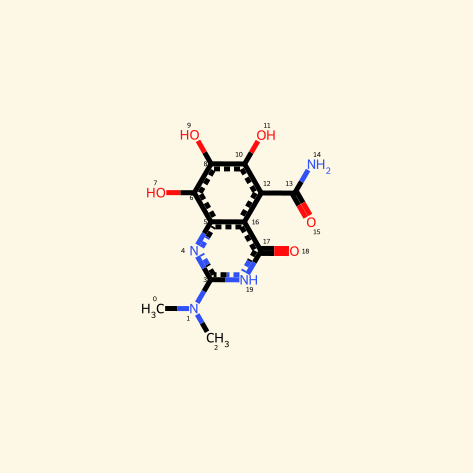 CN(C)c1nc2c(O)c(O)c(O)c(C(N)=O)c2c(=O)[nH]1